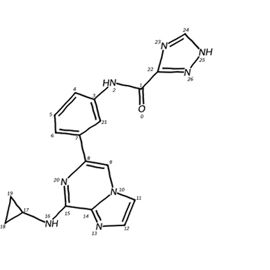 O=C(Nc1cccc(-c2cn3ccnc3c(NC3CC3)n2)c1)c1nc[nH]n1